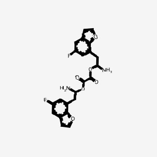 NC(Cc1cc(F)cc2ccoc12)OC(=O)C(=O)OC(N)Cc1cc(F)cc2ccoc12